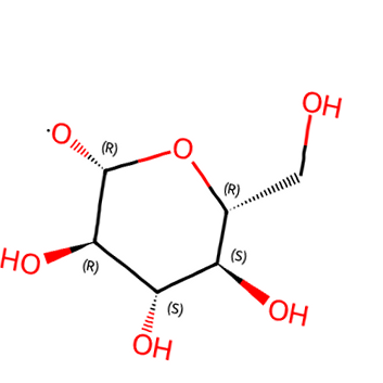 [O][C@@H]1O[C@H](CO)[C@@H](O)[C@H](O)[C@H]1O